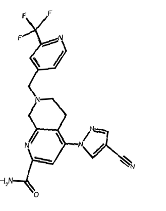 N#Cc1cnn(-c2cc(C(N)=O)nc3c2CCN(Cc2ccnc(C(F)(F)F)c2)C3)c1